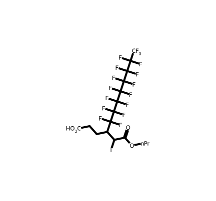 CCCOC(=O)C(I)C(CCC(=O)O)C(F)(F)C(F)(F)C(F)(F)C(F)(F)C(F)(F)C(F)(F)C(F)(F)C(F)(F)F